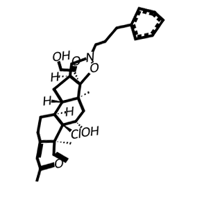 C=C[C@@]1(C)/C(=C\C(C)=O)CC[C@H]2[C@@H]3C[C@H]4CN(CCCc5ccccc5)O[C@@]4(C(=O)CO)[C@@]3(C)C[C@H](O)[C@@]21Cl